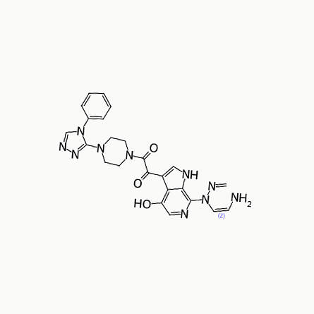 C=NN(/C=C\N)c1ncc(O)c2c(C(=O)C(=O)N3CCN(c4nncn4-c4ccccc4)CC3)c[nH]c12